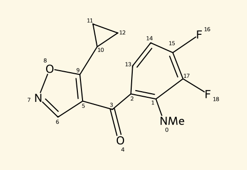 CNc1c(C(=O)c2cnoc2C2CC2)ccc(F)c1F